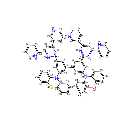 c1ccc(-c2cc(-c3cccnc3)nc(-c3cc(-c4cc(-c5nc(-c6cccnc6)cc(-c6ccccn6)n5)cc(N5c6ccccc6Sc6ccccc65)c4)cc(N4c5ccccc5Oc5ccccc54)c3)n2)nc1